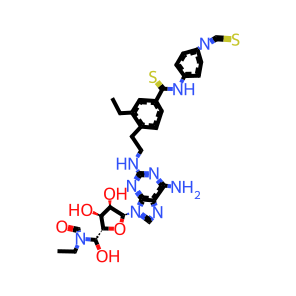 CCc1cc(C(=S)Nc2ccc(N=C=S)cc2)ccc1CCNc1nc(N)c2ncn([C@@H]3O[C@H](C(O)N(C=O)CC)[C@@H](O)[C@H]3O)c2n1